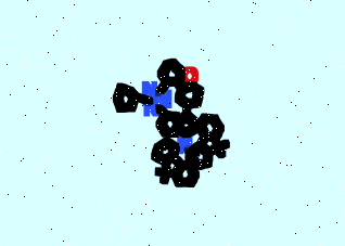 CC1(C)c2ccccc2-c2c(N(c3ccc(-c4ccc5oc6cccc(-c7nc(-c8ccccc8)nc(-c8ccccc8)n7)c6c5c4)cc3)c3cccc4c3-c3ccccc3C4(C)C)cccc21